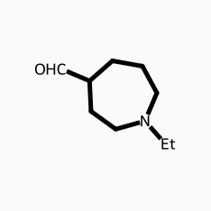 CCN1CCCC(C=O)CC1